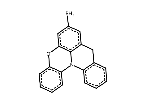 Bc1cc2c3c(c1)Oc1ccccc1N3c1ccccc1C2